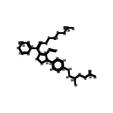 C=NC1=C(/C(=N\CCOCCNC)C2=CNCN=C2)CCN1c1ccc(CCN(C)CCNC)cc1